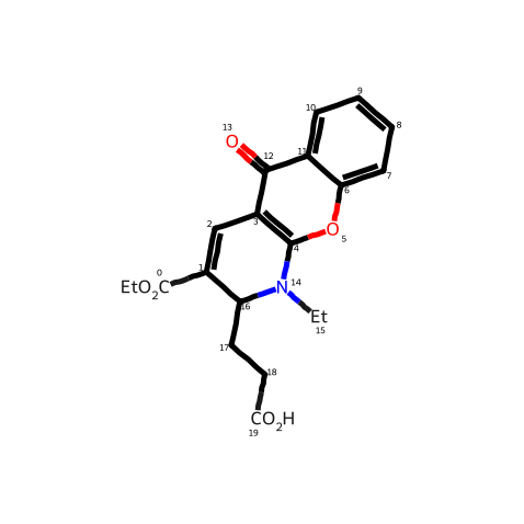 CCOC(=O)C1=Cc2c(oc3ccccc3c2=O)N(CC)C1CCC(=O)O